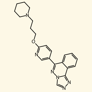 c1ccc2c(c1)c(-c1ccc(OCCCN3CCCCC3)nc1)nn1cnnc21